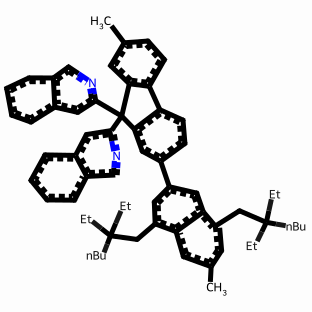 CCCCC(CC)(CC)Cc1cc(-c2ccc3c(c2)C(c2cc4ccccc4cn2)(c2cc4ccccc4cn2)c2cc(C)ccc2-3)cc2c(CC(CC)(CC)CCCC)cc(C)cc12